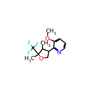 COc1cccnc1C1COC(C)(C(F)(F)F)C1C